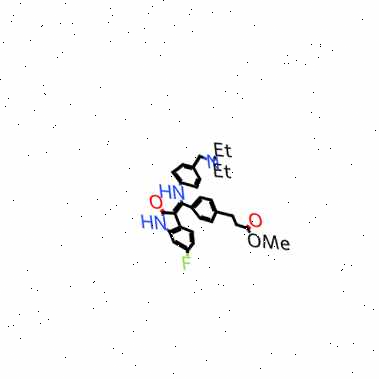 CCN(CC)Cc1ccc(N/C(=C2\C(=O)Nc3cc(F)ccc32)c2ccc(CCC(=O)OC)cc2)cc1